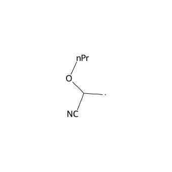 [CH2]C(C#N)OCCC